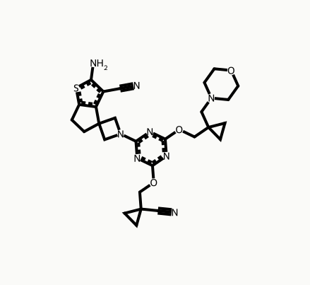 N#Cc1c(N)sc2c1C1(CC2)CN(c2nc(OCC3(C#N)CC3)nc(OCC3(CN4CCOCC4)CC3)n2)C1